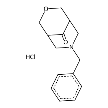 Cl.O=C1C2COCC1CN(Cc1ccccc1)C2